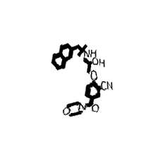 CC(C)(Cc1ccc2ccccc2c1)NCC(O)COc1ccc(C(=O)N2CCOCC2)cc1C#N